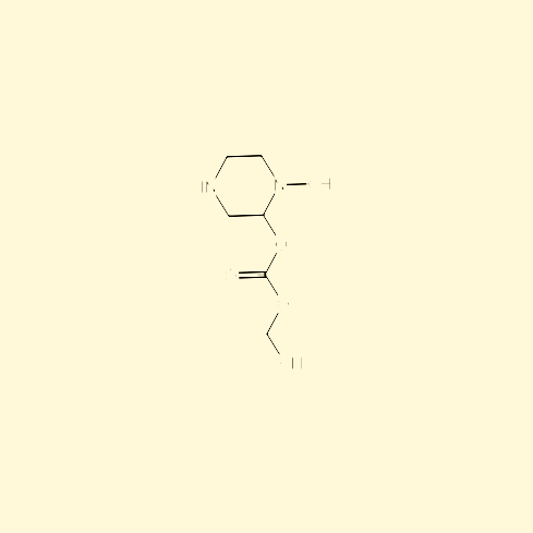 CCOC(=O)OC1CNCCN1C